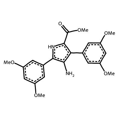 COC(=O)c1[nH]c(-c2cc(OC)cc(OC)c2)c(N)c1-c1cc(OC)cc(OC)c1